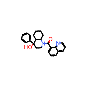 O=C(c1cccc2cccnc12)N1CCC(O)(c2ccccc2)C2CCCCC21